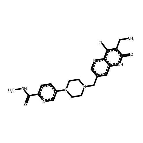 CCc1c(Cl)c2ncc(CN3CCN(c4ccc(C(=O)NC)nc4)CC3)cc2[nH]c1=O